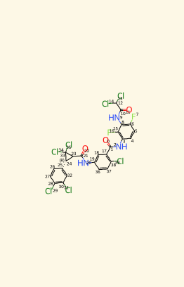 O=C(Nc1ccc(F)c(NC(=O)C(Cl)Cl)c1F)c1cc(NC(=O)C2[C@H](c3ccc(Cl)c(Cl)c3)C2(Cl)Cl)ccc1Cl